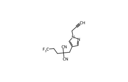 C#CCn1cc(CC(C#N)(C#N)CCC(F)(F)F)cn1